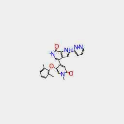 Cc1cccc(C)c1Oc1cn(C)c(=O)cc1-c1cn(C)c(=O)c2[nH]c(-c3cccnn3)cc12